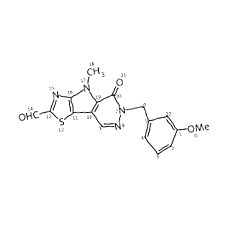 COc1cccc(Cn2ncc3c4sc(C=O)nc4n(C)c3c2=O)c1